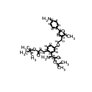 Cc1oc(-c2ccc(N)cc2)nc1CCOc1ccc(CCC(=O)OC(C)(C)C)c(C(N)C(=O)OC(C)C)c1